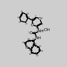 Cl.O=C(NC1=COC=C(C2=CC=CCC2)O1)Nc1ccnc2ccccc12